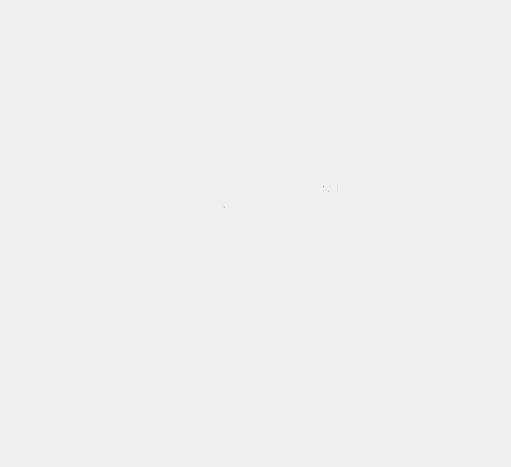 Cc1cc2c(s1)CCCCN2S(=O)(=O)c1ccc(Cl)c(N)c1